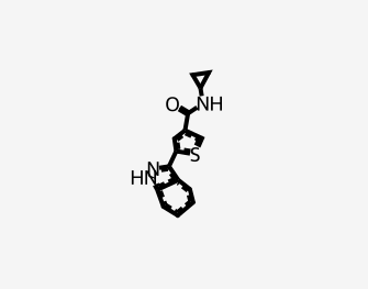 O=C(NC1CC1)c1csc(-c2n[nH]c3ccccc23)c1